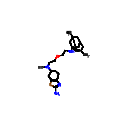 CCCN(CCOCCNC12CC3CC(C)(CC(C)(C3)C1)C2)[C@H]1CCc2nc(N)sc2C1